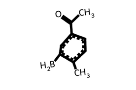 Bc1cc(C(C)=O)ccc1C